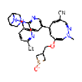 CCc1ccc(CN2C3CC2CN(c2ccc(-c4cc(C#N)cnn(C)cc(OCC5C[S+]([O-])C5)c4)cn2)C3)cn1